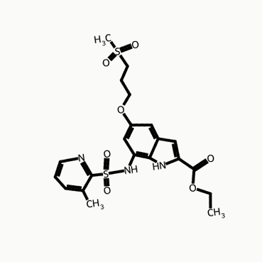 CCOC(=O)c1cc2cc(OCCCS(C)(=O)=O)cc(NS(=O)(=O)c3ncccc3C)c2[nH]1